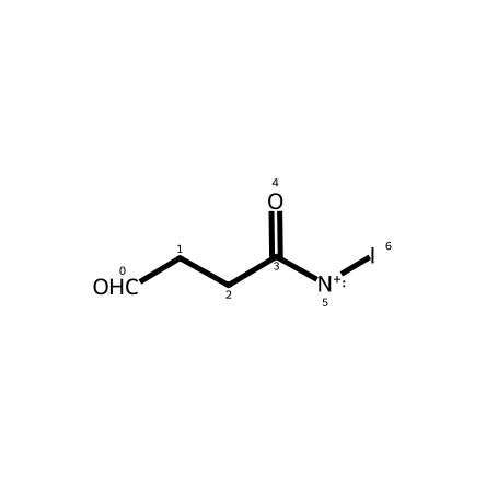 O=CCCC(=O)[N+]I